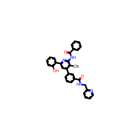 N#Cc1c(-c2cccc(C(=O)NCc3ccccn3)c2)cc(-c2ccccc2O)nc1NC(=O)c1ccccc1